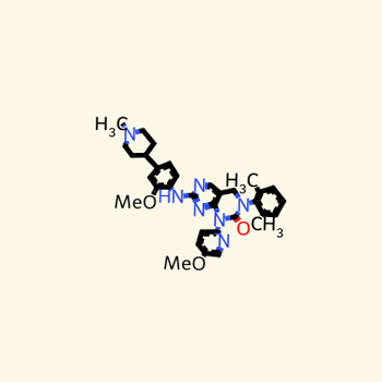 COc1ccc(N2C(=O)N(c3c(C)cccc3C)Cc3cnc(Nc4ccc(C5CCN(C)CC5)cc4OC)nc32)nc1